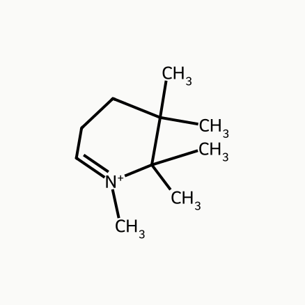 C[N+]1=CCCC(C)(C)C1(C)C